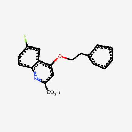 O=C(O)c1cc(OCCc2ccccc2)c2cc(F)ccc2n1